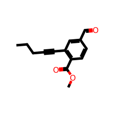 CCCC#Cc1cc(C=O)ccc1C(=O)OC